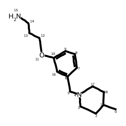 CC1CCN(Cc2cccc(OCCCN)c2)CC1